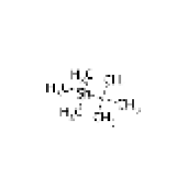 C[C](C)(C)[Sn]([CH3])([CH3])[CH3]